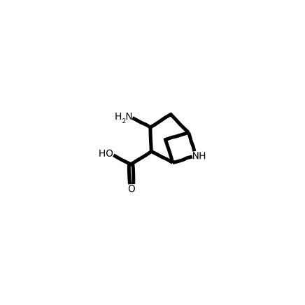 NC1CC2CC(N2)C1C(=O)O